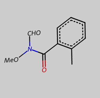 CON(C=O)C(=O)c1ccccc1C